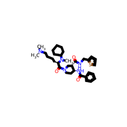 CN(C)CCCC[C@H](C(=O)N1CC[C@@H](NC(=O)c2ccccc2)[C@@H](C(=O)NCc2cccs2)C1)N(C)C1CCCCC1